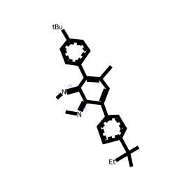 CCC(C)(C)c1ccc(C2=CC(C)=C(c3ccc(C(C)(C)C)cc3)C(=N/C)/C2=N\C)cc1